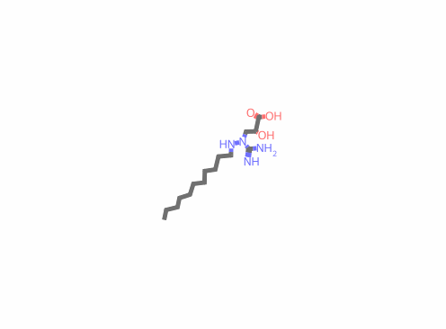 CCCCCCCCCCCNN(CC(O)C(=O)O)C(=N)N